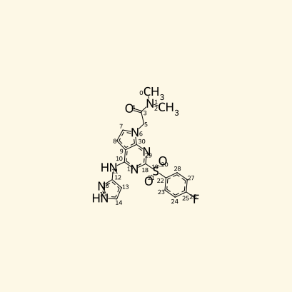 CN(C)C(=O)Cn1ccc2c(Nc3cc[nH]n3)nc(S(=O)(=O)c3ccc(F)cc3)nc21